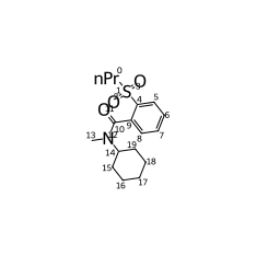 CCCS(=O)(=O)c1ccccc1C(=O)N(C)C1CCCCC1